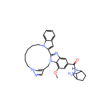 COc1cc(C(=O)N2CC3CCC2[C@@H]3N)cc2nc3n(c12)Cc1cnn(c1)CCCCCCn1c-3cc2ccccc21